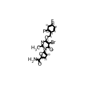 Cc1nc(OCc2ccc(F)cc2F)c(Br)c(=O)n1-c1ccc(C(N)=O)o1